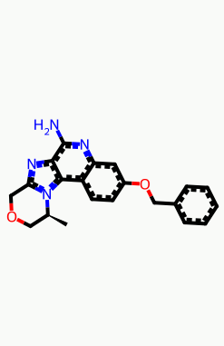 C[C@H]1COCc2nc3c(N)nc4cc(OCc5ccccc5)ccc4c3n21